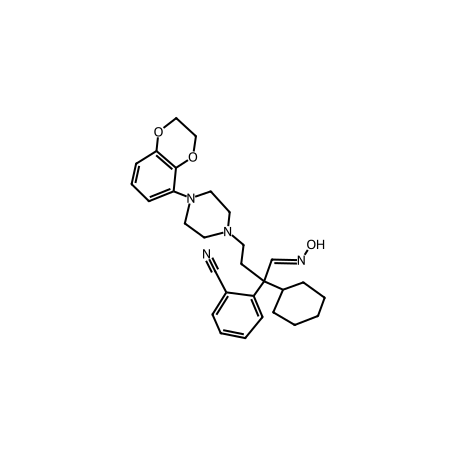 N#Cc1ccccc1C(C=NO)(CCN1CCN(c2cccc3c2OCCO3)CC1)C1CCCCC1